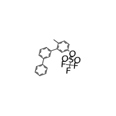 Cc1ccc(OS(=O)(=O)C(F)(F)F)cc1-c1cccc(-c2ccccc2)c1